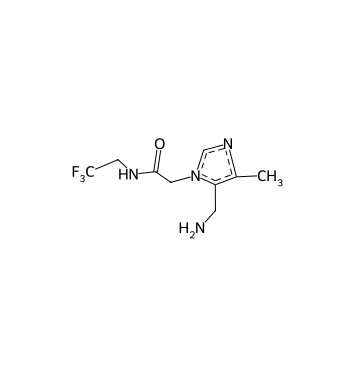 Cc1ncn(CC(=O)NCC(F)(F)F)c1CN